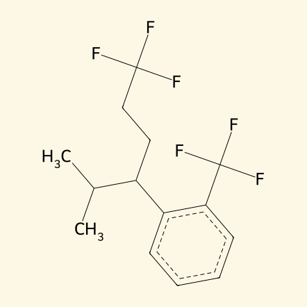 CC(C)C(CCC(F)(F)F)c1ccccc1C(F)(F)F